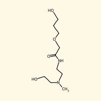 CN(CCO)CCNC(=O)COCCCO